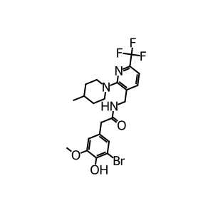 COc1cc(CC(=O)NCc2ccc(C(F)(F)F)nc2N2CCC(C)CC2)cc(Br)c1O